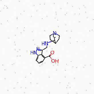 O=C(O)c1cccc2[nH]nc(CNC3CN4CCC3CC4)c12